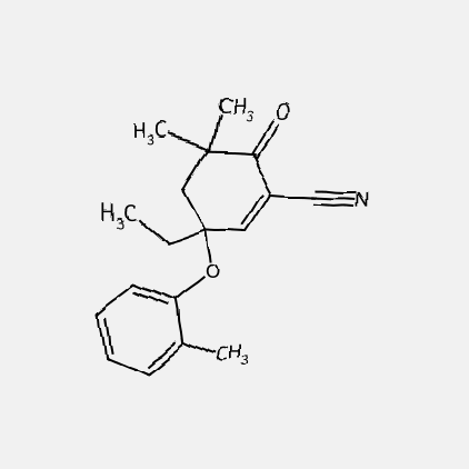 CCC1(Oc2ccccc2C)C=C(C#N)C(=O)C(C)(C)C1